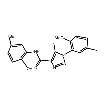 COc1ccc(C)cc1-n1nnc(C(=O)Nc2cc(C(C)(C)C)ccc2O)c1C